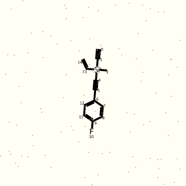 C#C[Si](C)(C#Cc1ccc(F)cc1)C=C